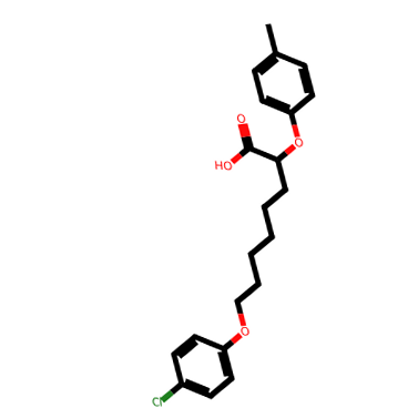 Cc1ccc(OC(CCCCCCOc2ccc(Cl)cc2)C(=O)O)cc1